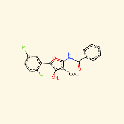 CC(=O)Oc1c(NC(=O)c2ccccc2)oc(-c2cc(F)ccc2F)c1O